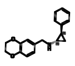 c1ccc([C@H]2C[C@@H]2NCc2ccc3c(c2)OCCO3)cc1